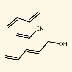 C=C/C=C/CO.C=CC#N.C=CC=C